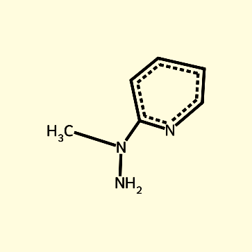 CN(N)c1ccccn1